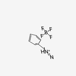 F[B-](F)(F)F.Ic1ccccc1.N#[NH+]